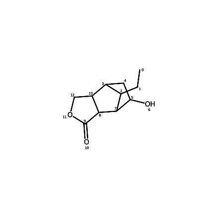 CCC1C2CC(O)C1C1C(=O)OCC21